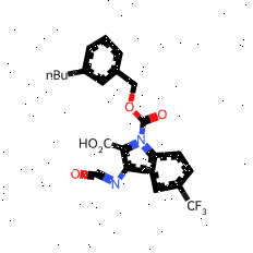 CCCCc1cccc(COC(=O)n2c(C(=O)O)c(N=C=O)c3cc(C(F)(F)F)ccc32)c1